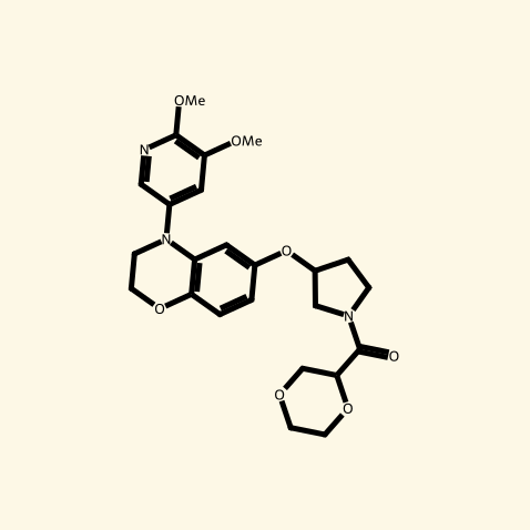 COc1cc(N2CCOc3ccc(OC4CCN(C(=O)C5COCCO5)C4)cc32)cnc1OC